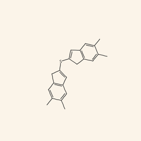 Cc1cc2c(cc1C)CC(SC1=Cc3cc(C)c(C)cc3C1)=C2